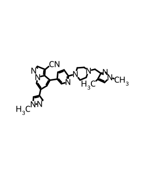 Cc1cn(C)nc1CN1CCN(c2ccc(-c3cc(-c4cnn(C)c4)cn4ncc(C#N)c34)cn2)CC1